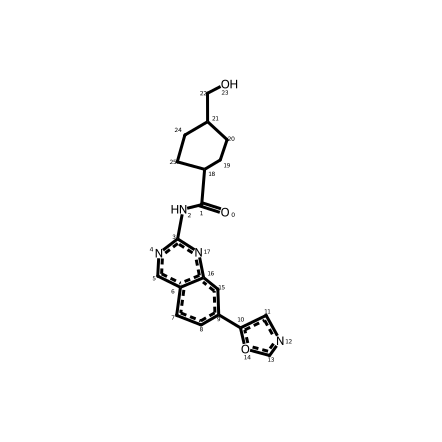 O=C(Nc1ncc2ccc(-c3cnco3)cc2n1)C1CCC(CO)CC1